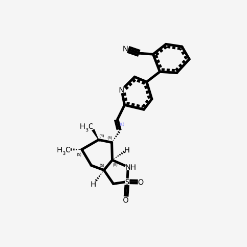 C[C@H]1[C@H](/C=C/c2ccc(-c3ccccc3C#N)cn2)[C@H]2NS(=O)(=O)C[C@H]2C[C@@H]1C